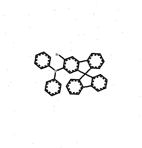 Brc1cc2c(cc1N(c1ccccc1)c1ccccc1)C1(c3ccccc3-c3ccccc31)c1ccccc1-2